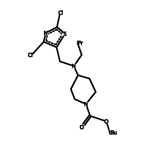 CC(C)CN(Cc1sc(Cl)nc1Cl)C1CCN(C(=O)OC(C)(C)C)CC1